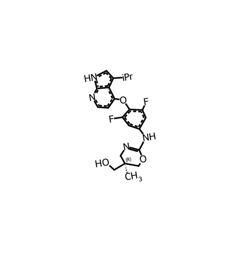 CC(C)c1c[nH]c2nccc(Oc3c(F)cc(NC4=NC[C@](C)(CO)CO4)cc3F)c12